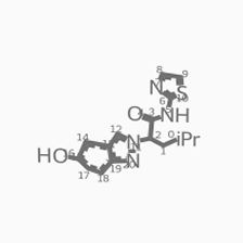 CC(C)CC(C(=O)Nc1nccs1)n1cc2cc(O)ccc2n1